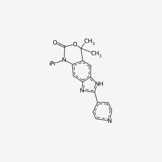 CC(C)N1C(=O)OC(C)(C)c2cc3[nH]c(-c4ccncc4)nc3cc21